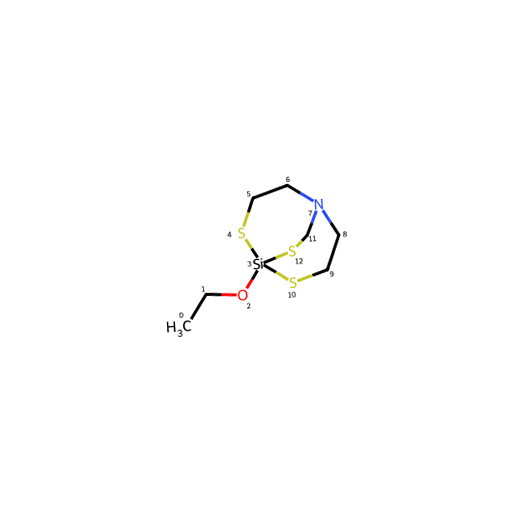 CCO[Si]12SCCN(CCS1)CS2